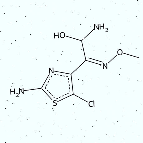 CO/N=C(/c1nc(N)sc1Cl)C(N)O